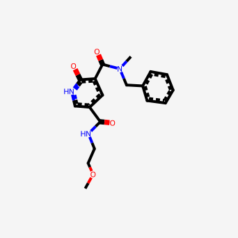 COCCNC(=O)c1c[nH]c(=O)c(C(=O)N(C)Cc2ccccc2)c1